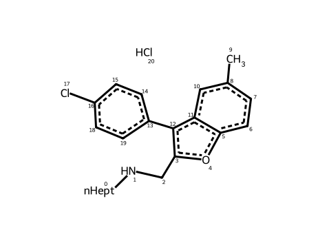 CCCCCCCNCc1oc2ccc(C)cc2c1-c1ccc(Cl)cc1.Cl